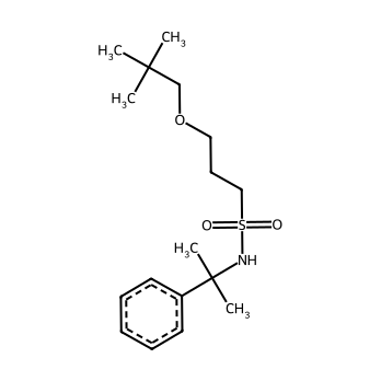 CC(C)(C)COCCCS(=O)(=O)NC(C)(C)c1ccccc1